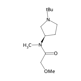 COCC(=O)N(C)[C@@H]1CCN(C(C)(C)C)C1